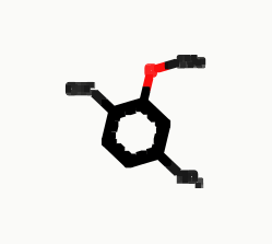 CSOc1cc([N+](=O)[O-])ccc1C=O